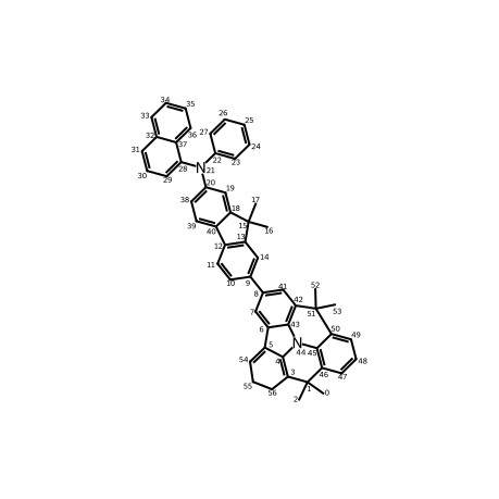 CC1(C)C2=c3c(c4cc(-c5ccc6c(c5)C(C)(C)c5cc(N(c7ccccc7)c7cccc8ccccc78)ccc5-6)cc5c4n3-c3c1cccc3C5(C)C)=CCC2